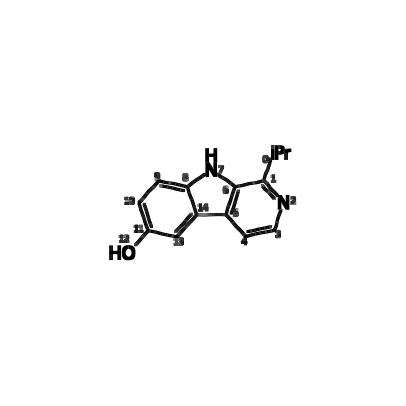 CC(C)c1nccc2c1[nH]c1ccc(O)cc12